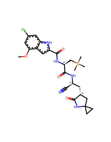 COc1cc(Cl)cc2[nH]c(C(=O)N[C@@H](CS(C)(C)C)C(=O)N[C@H](C#N)C[C@@H]3CC4(CC4)NC3=O)cc12